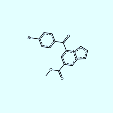 COC(=O)c1cc(C(=O)c2ccc(Br)cc2)n2cccc2c1